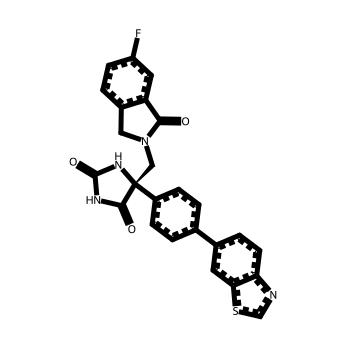 O=C1NC(=O)[C@@](CN2Cc3ccc(F)cc3C2=O)(c2ccc(-c3ccc4ncsc4c3)cc2)N1